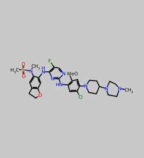 COc1cc(N2CCC(N3CCN(C)CC3)CC2)c(Cl)cc1Nc1ncc(F)c(Nc2cc3c(cc2N(C)S(C)(=O)=O)CCO3)n1